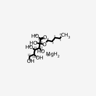 CCCCCOC(O)(C(=O)O)C(O)C(O)C(O)CO.[MgH2]